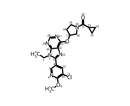 CCn1c(-c2cnc(OC)c(Cl)c2)nc2c(OC3CCN(C(=O)C4CC4)C3)ncnc21